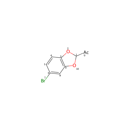 CC(=O)C1Oc2ccc(Br)cc2O1